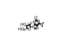 CN(C)c1nc(Cl)nc2c1ncn2[C@@H]1O[C@H](CO)[C@@H](O)[C@@]1(C)F